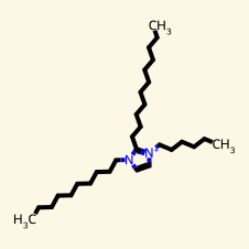 CCCCCCCCCCCc1n(CCCCCCCCCC)cc[n+]1CCCCCC